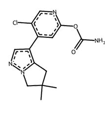 CC1(C)Cc2c(-c3cc(OC(N)=O)ncc3Cl)cnn2C1